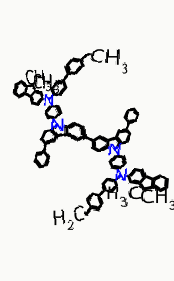 C=Cc1ccc(-c2ccc(N(c3ccc(-n4c5ccc(-c6ccccc6)cc5c5cc(-c6ccc7c(c6)c6cc(-c8ccccc8)ccc6n7-c6ccc(N(c7ccc(-c8ccc(CC)cc8)cc7)c7ccc8c(c7)C(C)(C)c7ccccc7-8)cc6)ccc54)cc3)c3ccc4c(c3)C(C)(C)c3ccccc3-4)cc2)cc1